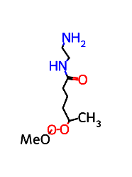 COOOC(C)CCCC(=O)NCCN